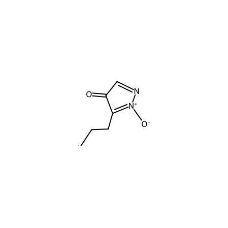 [CH2]CCC1=[N+]([O-])N=CC1=O